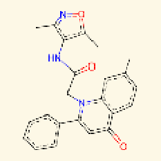 Cc1ccc2c(=O)cc(-c3ccccc3)n(CC(=O)Nc3c(C)noc3C)c2c1